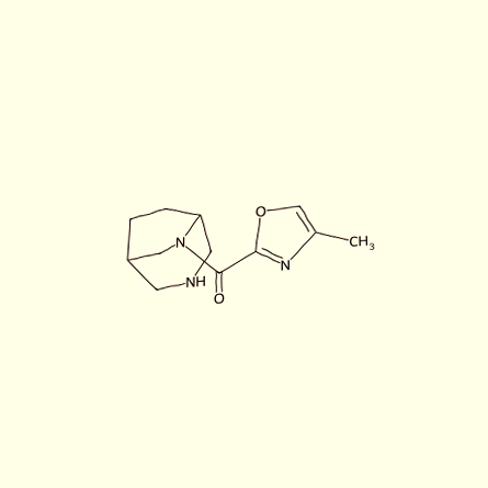 Cc1coc(C(=O)N2CC3CCC2CNC3)n1